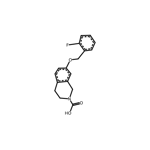 O=C(O)N1CCc2ccc(OCc3ccccc3F)cc2C1